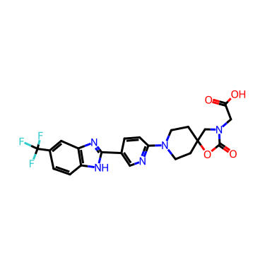 O=C(O)CN1CC2(CCN(c3ccc(-c4nc5cc(C(F)(F)F)ccc5[nH]4)cn3)CC2)OC1=O